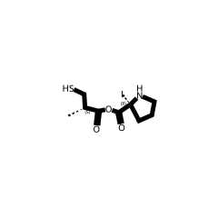 C[C@H](CS)C(=O)OC(=O)[C@]1(I)CCCN1